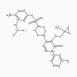 CC1(COc2c(N3CCN(S(=O)(=O)Cc4ccc(N)c(OC(F)F)c4)CC3)cnn(-c3cccc(Cl)c3)c2=O)CC1